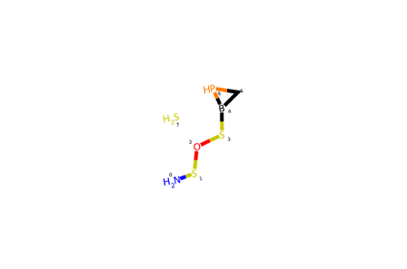 NSOSB1CP1.S